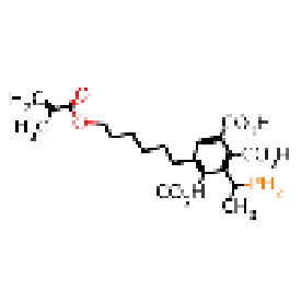 C=C(C)C(=O)OCCCCCCc1cc(C(=O)O)c(C(=O)O)c(C(C)P)c1C(=O)O